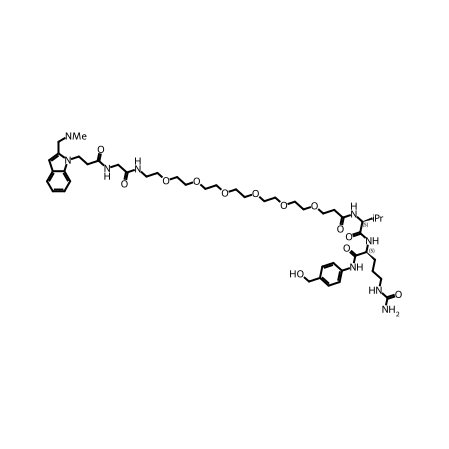 CNCc1cc2ccccc2n1CCC(=O)NCC(=O)NCCOCCOCCOCCOCCOCCOCCC(=O)N[C@H](C(=O)N[C@@H](CCCNC(N)=O)C(=O)Nc1ccc(CO)cc1)C(C)C